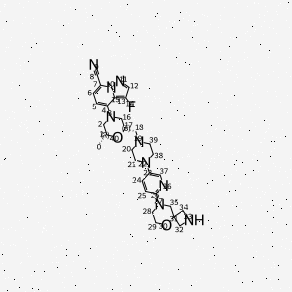 C[C@@H]1CN(c2ccc(C#N)n3ncc(F)c23)C[C@H](CN2CCN(c3ccc(N4CCOC5(CNC5)C4)nc3)CC2)O1